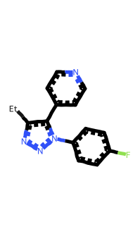 CCc1nnn(-c2ccc(F)cc2)c1-c1ccncc1